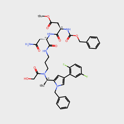 CC(C)(C)OC(=O)C[C@@H](NC(=O)OCc1ccccc1)C(=O)N[C@@H](CC(N)=O)C(=O)NCCCN(C(=O)CO)[C@@H](c1cc(-c2cc(F)ccc2F)cn1Cc1ccccc1)C(C)(C)C